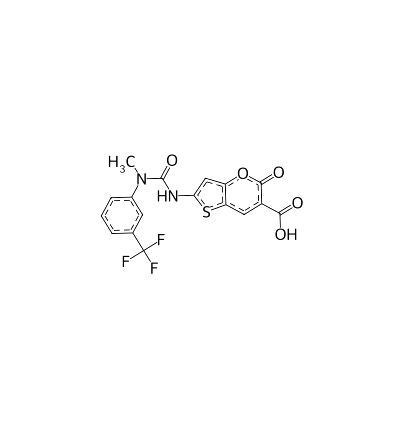 CN(C(=O)Nc1cc2oc(=O)c(C(=O)O)cc2s1)c1cccc(C(F)(F)F)c1